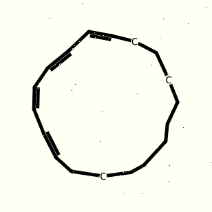 C1=CC=CCCCCCCCCCCC=CC=C1